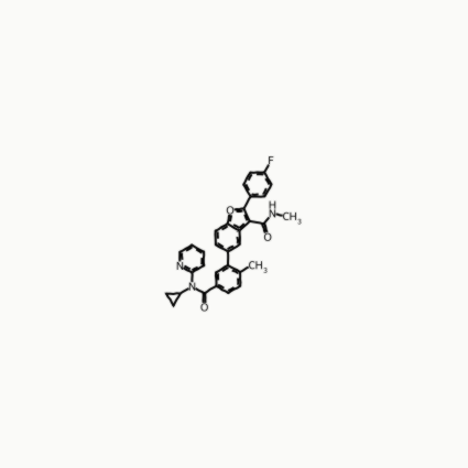 CNC(=O)c1c(-c2ccc(F)cc2)oc2ccc(-c3cc(C(=O)N(c4ccccn4)C4CC4)ccc3C)cc12